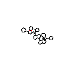 c1ccc(-c2ccc(N(c3ccccc3-c3ccccc3)c3cccc4c(-c5cccc6ccc7c(-c8ccccc8)c8ccccc8n7c56)cccc34)cc2)cc1